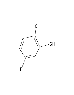 Fc1ccc(Cl)c(S)c1